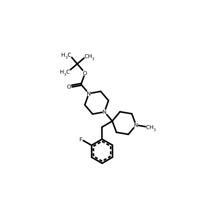 CN1CCC(Cc2ccccc2F)(N2CCN(C(=O)OC(C)(C)C)CC2)CC1